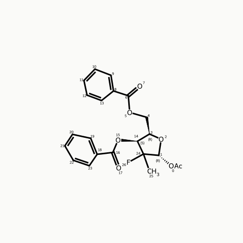 CC(=O)O[C@H]1O[C@H](COC(=O)c2ccccc2)[C@H](OC(=O)c2ccccc2)C1(C)F